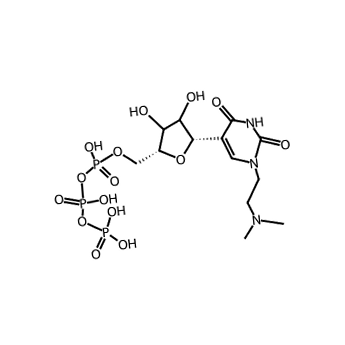 CN(C)CCn1cc([C@@H]2O[C@H](COP(=O)(O)OP(=O)(O)OP(=O)(O)O)C(O)C2O)c(=O)[nH]c1=O